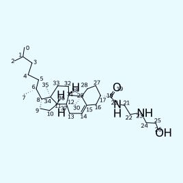 CC(C)CCC[C@@H](C)[C@H]1CC[C@H]2[C@@H]3CC=C4C[C@@H](C(=O)NCCNCCO)CC[C@]4(C)[C@H]3CC[C@]12C